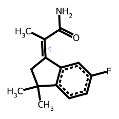 C/C(C(N)=O)=C1\CC(C)(C)c2ccc(F)cc21